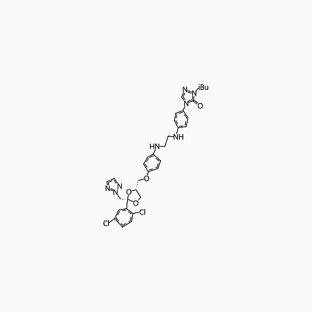 CCC(C)n1ncn(-c2ccc(NCCNc3ccc(OC[C@@H]4CO[C@@](Cn5nccn5)(c5cc(Cl)ccc5Cl)O4)cc3)cc2)c1=O